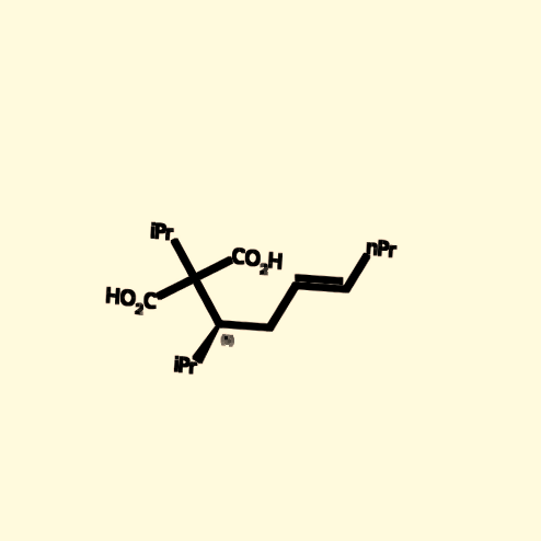 CCCC=CC[C@@H](C(C)C)C(C(=O)O)(C(=O)O)C(C)C